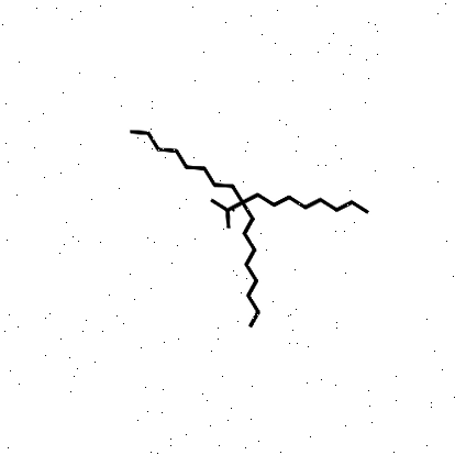 CCCCCCCCC(CCCCCCCC)(CCCCCCCC)[C](C)C